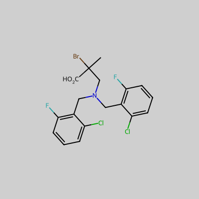 CC(Br)(CN(Cc1c(F)cccc1Cl)Cc1c(F)cccc1Cl)C(=O)O